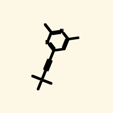 Cc1cc(C#C[Si](C)(C)C)nc(C)n1